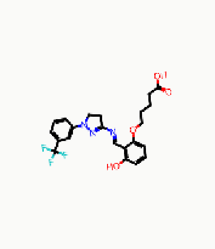 O=C(O)CCCCOc1cccc(O)c1C=NC1=NN(c2cccc(C(F)(F)F)c2)CC1